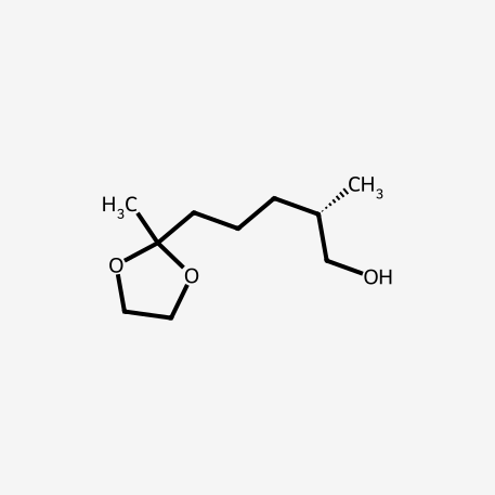 C[C@H](CO)CCCC1(C)OCCO1